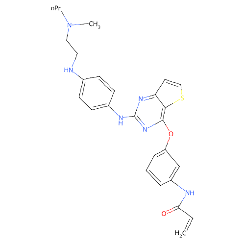 C=CC(=O)Nc1cccc(Oc2nc(Nc3ccc(NCCN(C)CCC)cc3)nc3ccsc23)c1